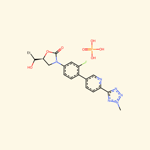 CCC(O)[C@@H]1CN(c2ccc(-c3ccc(-c4nnn(C)n4)nc3)c(F)c2)C(=O)O1.O=P(O)(O)O